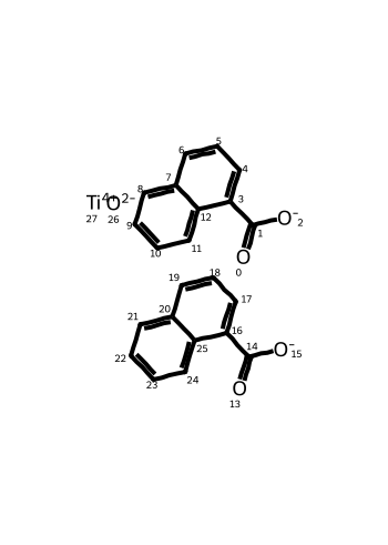 O=C([O-])c1cccc2ccccc12.O=C([O-])c1cccc2ccccc12.[O-2].[Ti+4]